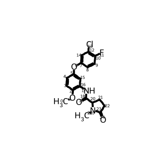 COc1ccc(Oc2ccc(F)c(Cl)c2)cc1NC(=O)C1CCC(=O)N1C